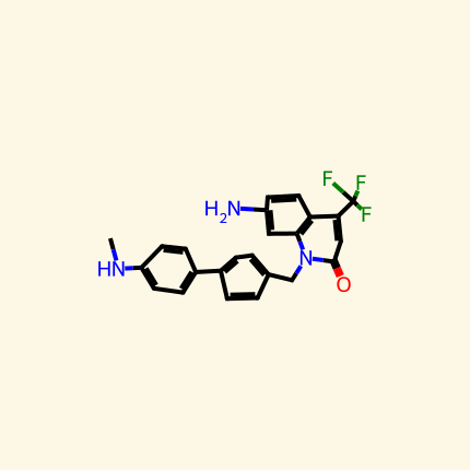 CNc1ccc(-c2ccc(Cn3c(=O)cc(C(F)(F)F)c4ccc(N)cc43)cc2)cc1